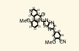 COc1cc(-c2cnc3nc(NC(=O)c4ccncc4-c4ccccc4OC)sc3n2)ccc1C#N